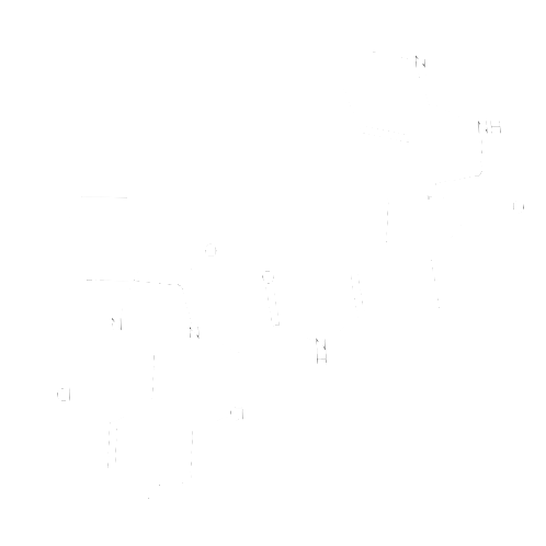 O=C(CN1C(=O)C2(CCCCC2)N=C1c1c(Cl)cccc1Cl)Nc1ccc2c(c1)C[C@@]1(C2)C(=O)Nc2ncccc21